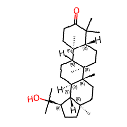 CC(C)(O)[C@@H]1CC[C@]2(C)CC[C@]3(C)[C@H](CC[C@@H]4[C@@]5(C)CCC(=O)C(C)(C)[C@@H]5CC[C@]43C)[C@@H]12